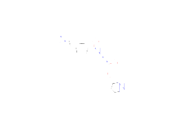 O=C(COCc1cccnc1)N1CCN(C(=O)C2=CCC=C(/C=C/N3CCCC3)C=C2)CC1